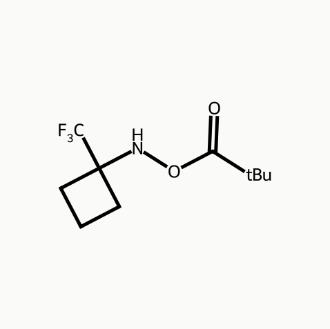 CC(C)(C)C(=O)ONC1(C(F)(F)F)CCC1